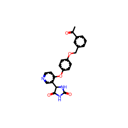 CC(=O)c1cccc(COc2ccc(Oc3ccncc3C3NC(=O)NC3=O)cc2)c1